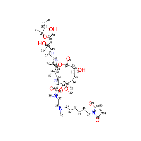 CC[C@H](O)C(C)O[C@@H](C)CC(C)(O)/C=C/C=C(\C)[C@H]1OC(=O)C[C@H](O)CC[C@@](C)(OC)[C@@H](OC(=O)N(C)CCN(C)CCCCCCN2C(=O)C=CC2=O)/C=C/[C@@H]1C